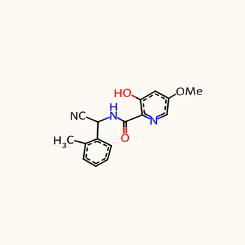 COc1cnc(C(=O)NC(C#N)c2ccccc2C)c(O)c1